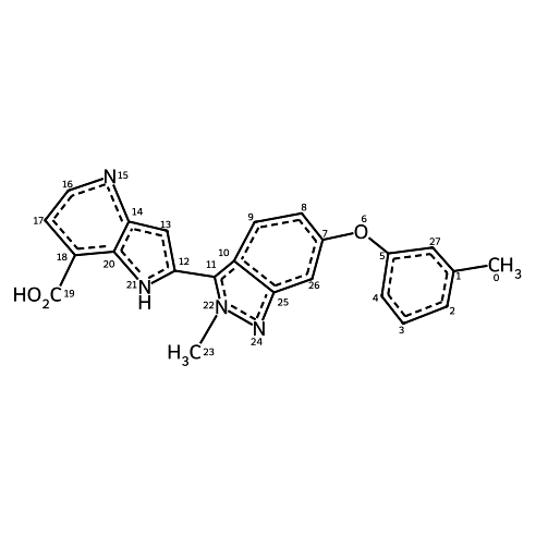 Cc1cccc(Oc2ccc3c(-c4cc5nccc(C(=O)O)c5[nH]4)n(C)nc3c2)c1